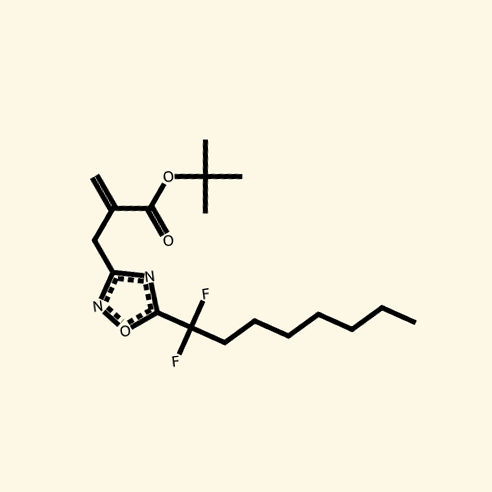 C=C(Cc1noc(C(F)(F)CCCCCCC)n1)C(=O)OC(C)(C)C